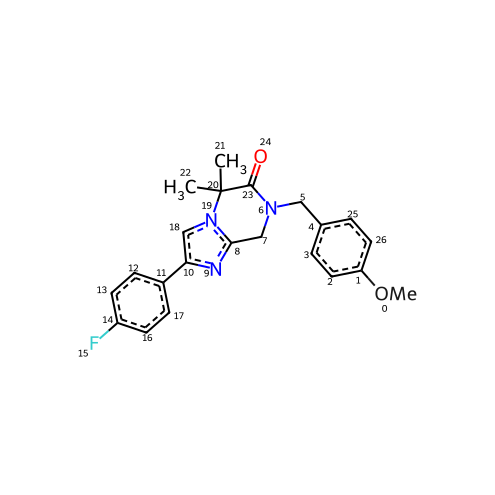 COc1ccc(CN2Cc3nc(-c4ccc(F)cc4)cn3C(C)(C)C2=O)cc1